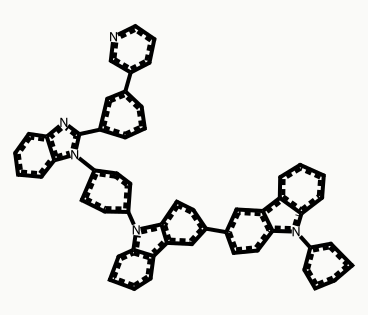 c1ccc(-n2c3ccccc3c3cc(-c4ccc5c(c4)c4ccccc4n5-c4ccc(-n5c(-c6cccc(-c7cccnc7)c6)nc6ccccc65)cc4)ccc32)cc1